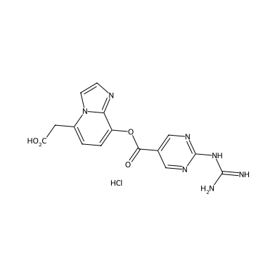 Cl.N=C(N)Nc1ncc(C(=O)Oc2ccc(CC(=O)O)n3ccnc23)cn1